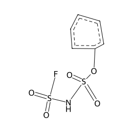 O=S(=O)(F)NS(=O)(=O)Oc1ccccc1